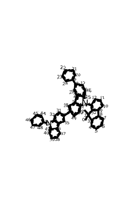 CC1(C)c2ccccc2-c2cccc(-n3c4ccc(-c5ccccc5)cc4c4cc(-c5ccc6c(c5)c5ccccc5n6-c5ccccc5)ccc43)c21